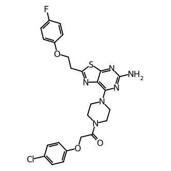 Nc1nc(N2CCN(C(=O)COc3ccc(Cl)cc3)CC2)c2nc(CCOc3ccc(F)cc3)sc2n1